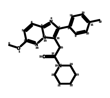 COc1ccc2nc(-c3ccc(C)cc3)c(CC(=O)N3CCCCC3)n2n1